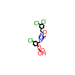 C[C@H]1CN(Cc2cc(Cl)ccc2OCC(=O)O)CCN1C(=O)Cc1ccc(Cl)c(Cl)c1